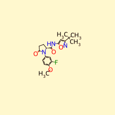 COc1ccc(N2C(=O)CC[C@H]2C(=O)Nc2cc(C(C)(C)C)no2)cc1F